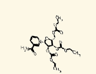 CCOC(=O)OC[C@H]1O[C@@H](N2C=CCC(C(N)=O)=C2)[C@H](OC(=O)OCC)[C@@H]1OC(=O)OCC